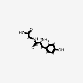 N[C@H](Cc1ccc(O)cc1)C(=O)NCC(=O)O